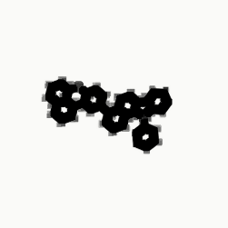 c1ccc(-n2c3ccccc3c3ccc4c(-c5ccc6c(c5)-c5cccc7cccc(c57)O6)cccc4c32)cc1